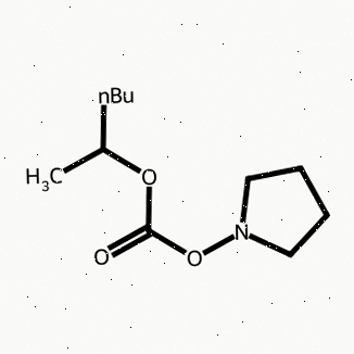 CCCCC(C)OC(=O)ON1CCCC1